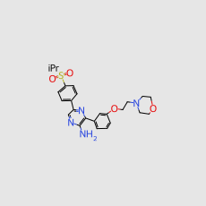 CC(C)S(=O)(=O)c1ccc(-c2cnc(N)c(-c3cccc(OCCN4CCOCC4)c3)n2)cc1